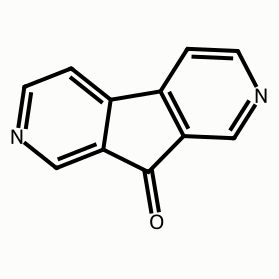 O=C1c2cnccc2-c2ccncc21